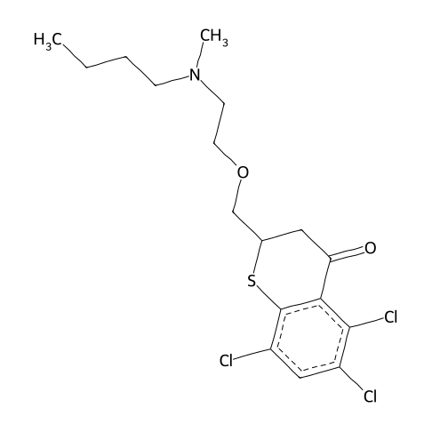 CCCCN(C)CCOCC1CC(=O)c2c(Cl)c(Cl)cc(Cl)c2S1